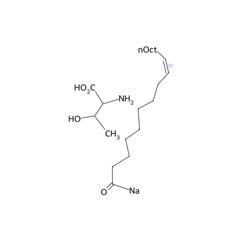 CC(O)C(N)C(=O)O.CCCCCCCC/C=C\CCCCCCC[C](=O)[Na]